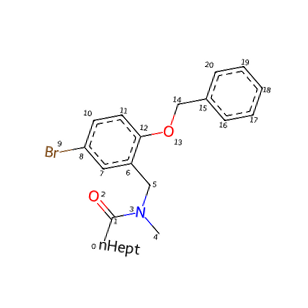 CCCCCCCC(=O)N(C)Cc1cc(Br)ccc1OCc1ccccc1